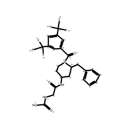 O=C(O)NCC(=O)NC1CCN(C(=O)c2cc(C(F)(F)F)cc(C(F)(F)F)c2)C(Cc2ccccc2)C1